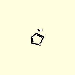 [NaH].c1ccoc1